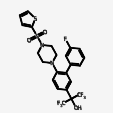 O=S(=O)(c1cccs1)N1CCN(c2ccc(C(O)(C(F)(F)F)C(F)(F)F)cc2-c2cccc(F)c2)CC1